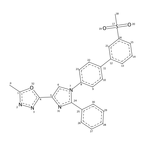 Cc1nnc(-c2cn(-c3ccc(-c4cccc(S(C)(=O)=O)c4)cc3)c(-c3ccccc3)n2)o1